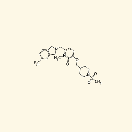 Cn1c(CN2Cc3ccc(C(F)(F)F)cc3C2)ccc(OCC2CCN(S(C)(=O)=O)CC2)c1=O